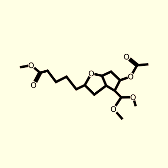 COC(=O)CCCCC1CC2C(CC(OC(C)=O)C2C(OC)OC)O1